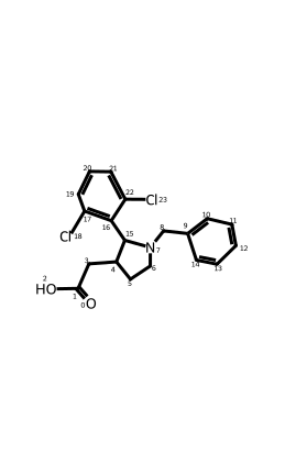 O=C(O)CC1CCN(Cc2ccccc2)C1c1c(Cl)cccc1Cl